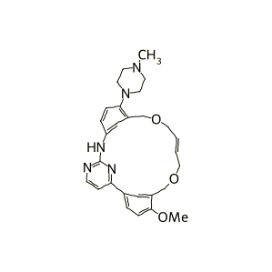 COc1ccc2cc1COC/C=C/COCc1cc(ccc1N1CCN(C)CC1)Nc1nccc-2n1